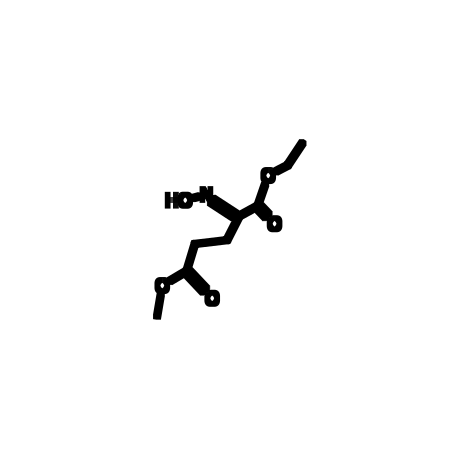 CCOC(=O)C(CCC(=O)OC)=NO